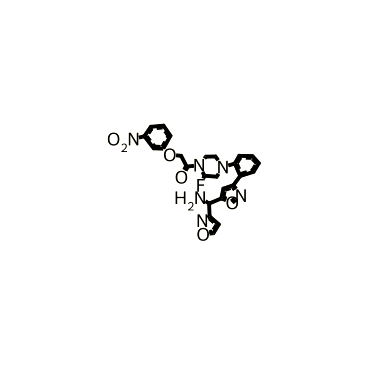 NC(c1ccon1)c1cc(-c2ccccc2N2CCN(C(=O)COc3cccc([N+](=O)[O-])c3)C(F)C2)no1